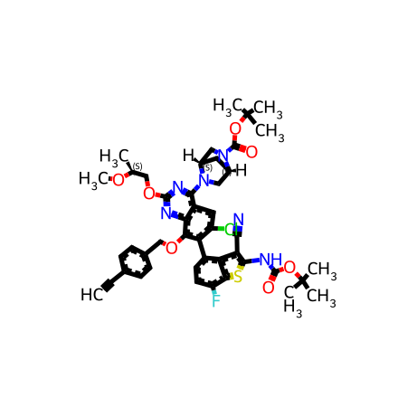 C#Cc1ccc(COc2c(-c3ccc(F)c4sc(NC(=O)OC(C)(C)C)c(C#N)c34)c(Cl)cc3c(N4C[C@@H]5C[C@H]4CN5C(=O)OC(C)(C)C)nc(OC[C@H](C)OC)nc23)cc1